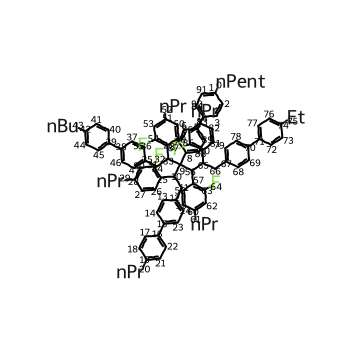 CCCCCc1ccc(-c2ccc(C(C(Cc3ccc(-c4ccc(CCC)cc4)cc3)c3ccc(CCC)cc3F)(C(Cc3ccc(-c4ccc(CCCC)cc4)cc3)c3ccc(CCC)cc3F)C(c3ccc(CCC)cc3F)C(Cc3ccc(-c4ccc(CC)cc4)cc3)c3ccc(CCC)cc3F)cc2)cc1